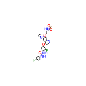 [C-]#[N+]c1cc2c(Oc3ccc(NC(=O)Nc4ccc(F)cc4)c(F)c3)ccnc2cc1OCCCNS(C)(=O)=O